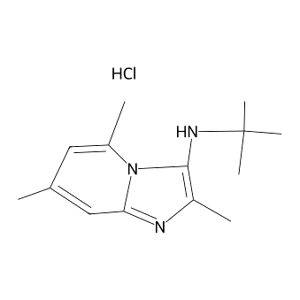 Cc1cc(C)n2c(NC(C)(C)C)c(C)nc2c1.Cl